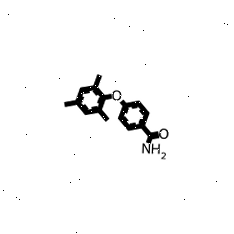 Cc1cc(C)c(Oc2ccc(C(N)=O)cc2)c(C)c1